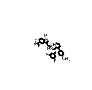 Cc1ccc(-c2cccnc2[C@H](Cc2cc(F)cc(F)c2)NC(=O)Cc2c[nH]c3ccc(C(F)(F)F)cc23)cc1